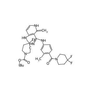 C=C1NC=CC(NC2(CC)CCN(C(=O)OC(C)(C)C)CC2)=C1C(=N)Nc1ccc(C(=O)N2CCC(F)(F)CC2)c(C)c1